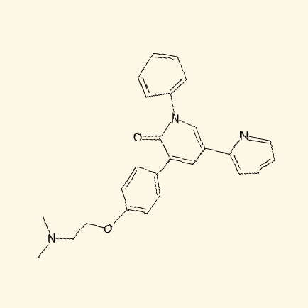 CN(C)CCOc1ccc(-c2cc(-c3ccccn3)cn(-c3ccccc3)c2=O)cc1